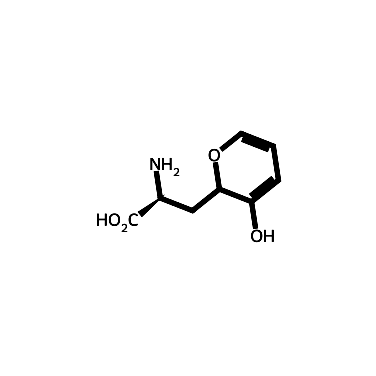 N[C@@H](CC1OC=CC=C1O)C(=O)O